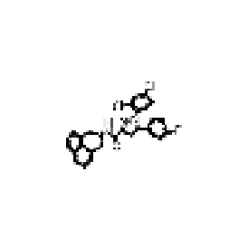 O=C(NN1Cc2cccc3cccc(c23)C1)C1=NN(c2ccc(Cl)cc2Cl)C(c2ccc(F)cc2)C1